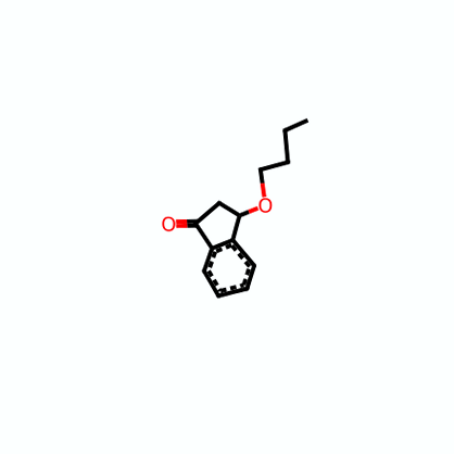 CCCCOC1CC(=O)c2ccccc21